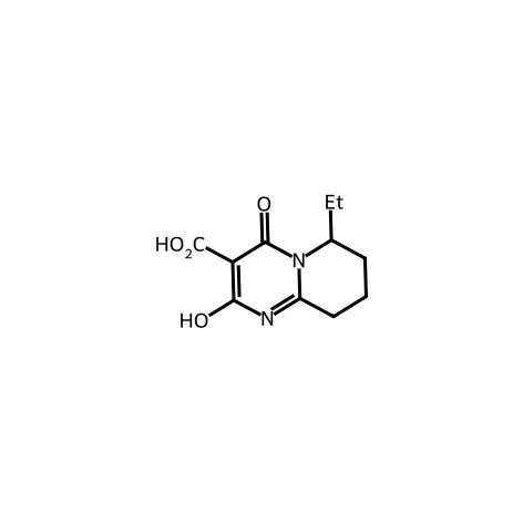 CCC1CCCc2nc(O)c(C(=O)O)c(=O)n21